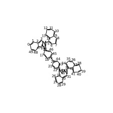 C1=CC2=CN(c3cccc4ccccc34)N(c3ccc(-c4ccc(N5C6C=CC=CC6=CN5c5cccc6ccccc56)cc4)cc3)C2C=C1